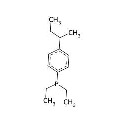 CCC(C)c1ccc(P(CC)CC)cc1